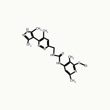 CCOc1nc(C)cc(NC(=O)NCc2cc(C)c(-c3c(C(F)(F)F)n[nH]c3C)nn2)c1C